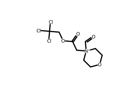 O=C[N+]1(CC(=O)OCC(Cl)(Cl)Cl)CCOCC1